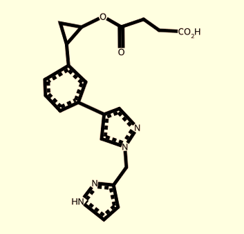 O=C(O)CCC(=O)OC1CC1c1cccc(-c2cnn(Cc3cc[nH]n3)c2)c1